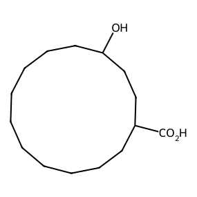 O=C(O)C1CCCCCCCCCCC(O)CC1